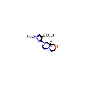 CCOC(=O)c1cn(C)nc1N1CCN2CCOC[C@@H]2C1